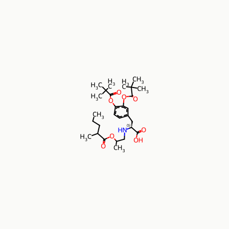 CCCC(C)C(=O)OC(C)CN[C@@H](Cc1ccc(OC(=O)C(C)(C)C)c(OC(=O)C(C)(C)C)c1)C(=O)O